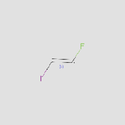 F/[C]=C/I